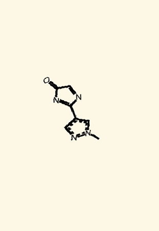 Cn1cc(C2=NC(=O)C=N2)cn1